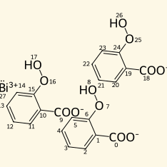 O=C([O-])c1ccccc1OO.O=C([O-])c1ccccc1OO.O=C([O-])c1ccccc1OO.[Bi+3]